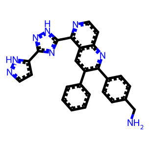 NCc1ccc(-c2nc3ccnc(-c4nc(-c5ccn[nH]5)n[nH]4)c3cc2-c2ccccc2)cc1